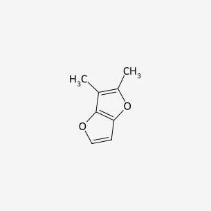 Cc1oc2ccoc2c1C